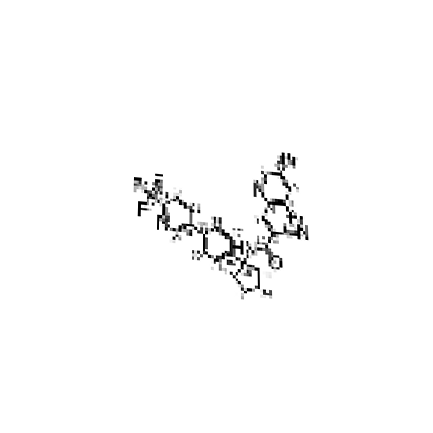 N#CC(=Cc1ncc(Br)cc1Br)C(=O)NC1(c2ccc(-c3ccc(C(F)(F)F)nc3)cc2)CCCC1